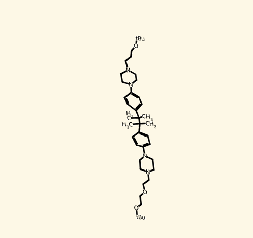 CC(C)(C)OCCCN1CCN(c2ccc(C(C)(C)C(C)(C)c3ccc(N4CCN(CCOCCOC(C)(C)C)CC4)cc3)cc2)CC1